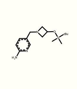 CC(C)(C)[Si](C)(C)OC1CN(Cc2ccc(N)nc2)C1